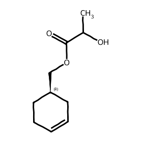 CC(O)C(=O)OC[C@H]1CC=CCC1